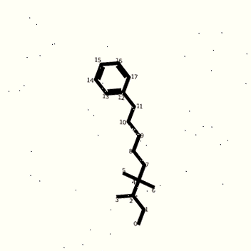 CC[C](C)C(C)(C)CCCCCc1ccccc1